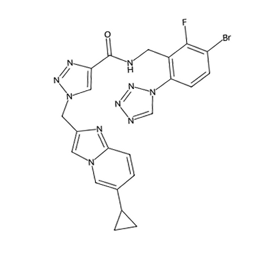 O=C(NCc1c(-n2cnnn2)ccc(Br)c1F)c1cn(Cc2cn3cc(C4CC4)ccc3n2)nn1